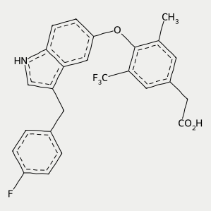 Cc1cc(CC(=O)O)cc(C(F)(F)F)c1Oc1ccc2[nH]cc(Cc3ccc(F)cc3)c2c1